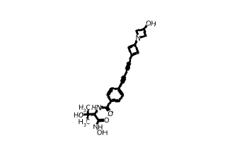 CC(C)(O)C(NC(=O)c1ccc(C#CC#CC2CC(N3CC(O)C3)C2)cc1)C(=O)NO